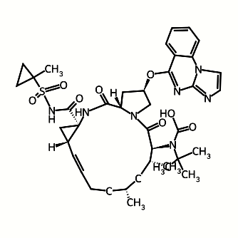 C[C@@H]1CC/C=C\[C@@H]2C[C@@]2(C(=O)NS(=O)(=O)C2(C)CC2)NC(=O)[C@@H]2C[C@@H](Oc3nc4nccn4c4ccccc34)CN2C(=O)[C@@H](N(C(=O)O)C(C)(C)C)[C@H](C)C1